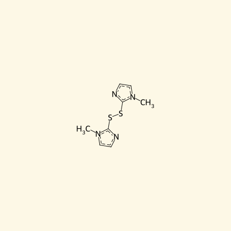 Cn1ccnc1SSc1nccn1C